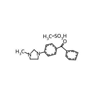 CN1CCN(c2ccc(C(=O)c3ccccc3)cc2)C1.CS(=O)(=O)O